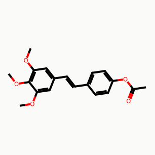 COc1cc(C=Cc2ccc(OC(C)=O)cc2)cc(OC)c1OC